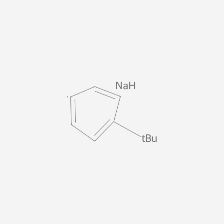 CC(C)(C)c1cc[c]cc1.[NaH]